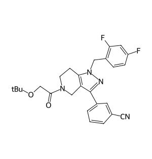 CC(C)(C)OCC(=O)N1CCc2c(c(-c3cccc(C#N)c3)nn2Cc2ccc(F)cc2F)C1